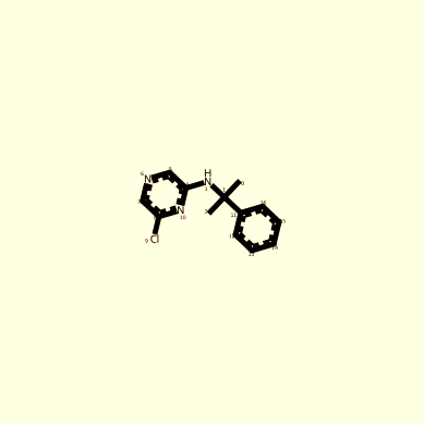 CC(C)(Nc1cncc(Cl)n1)c1ccccc1